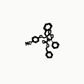 N#Cc1ccc(OC[C@@]2(Cc3ccccc3)C(=O)O[C@H](c3ccccc3)N2C(=O)OCc2ccccc2)cc1